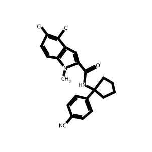 Cn1c(C(=O)NC2(c3ccc(C#N)cc3)CCCC2)cc2c(Cl)c(Cl)ccc21